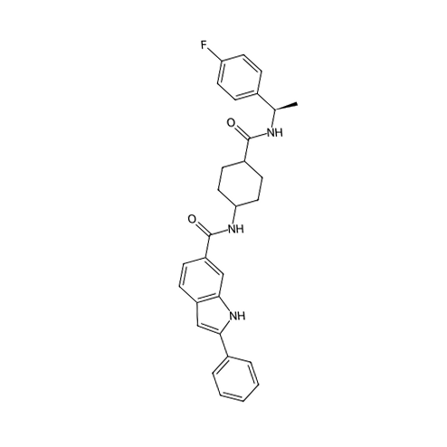 C[C@@H](NC(=O)C1CCC(NC(=O)c2ccc3cc(-c4ccccc4)[nH]c3c2)CC1)c1ccc(F)cc1